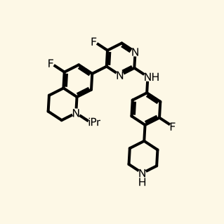 CC(C)N1CCCc2c(F)cc(-c3nc(Nc4ccc(C5CCNCC5)c(F)c4)ncc3F)cc21